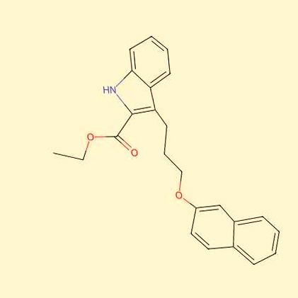 CCOC(=O)c1[nH]c2ccccc2c1CCCOc1ccc2ccccc2c1